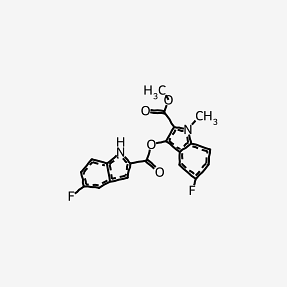 COC(=O)c1c(OC(=O)c2cc3cc(F)ccc3[nH]2)c2cc(F)ccc2n1C